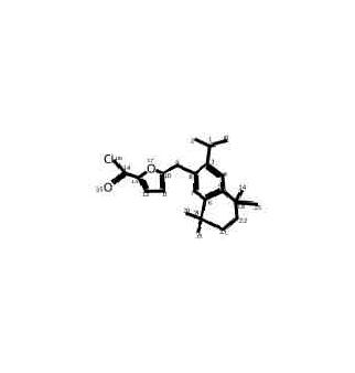 CC(C)c1cc2c(cc1Cc1ccc(C(=O)Cl)o1)C(C)(C)CCC2(C)C